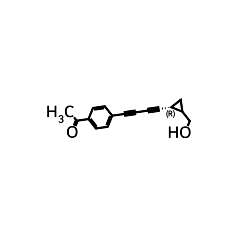 CC(=O)c1ccc(C#CC#C[C@@H]2CC2CO)cc1